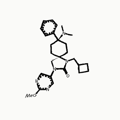 COc1ncc(N2C[C@]3(CC[C@](c4ccccc4)(N(C)C)CC3)N(CC3CCC3)C2=O)cn1